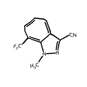 Cn1nc(C#N)c2cccc(C(F)(F)F)c21